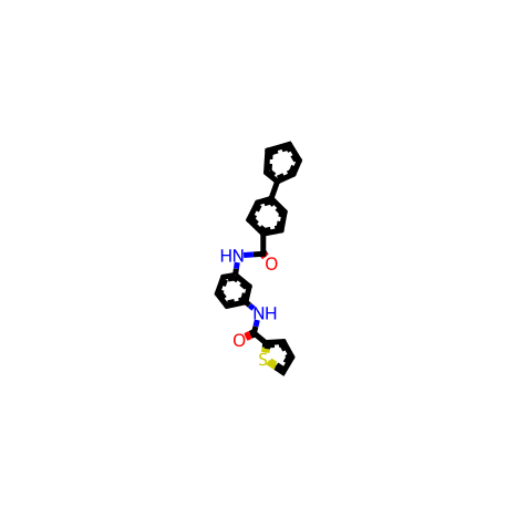 O=C(Nc1cccc(NC(=O)c2cccs2)c1)c1ccc(-c2ccccc2)cc1